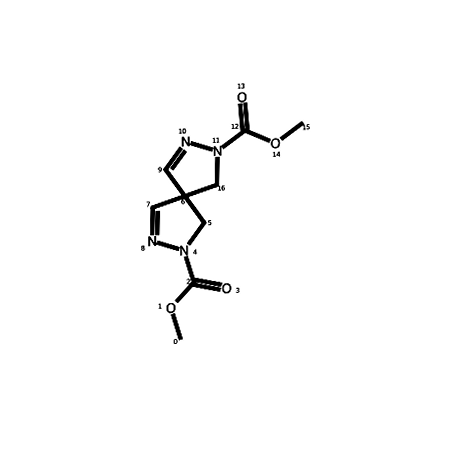 COC(=O)N1CC2(C=N1)C=NN(C(=O)OC)C2